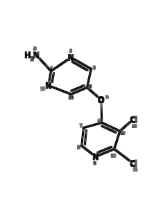 Nc1ncc(Oc2ccnc(Cl)c2Cl)cn1